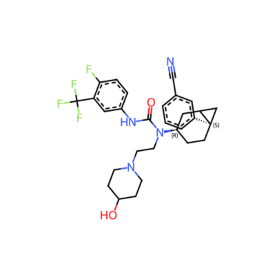 N#Cc1cccc([C@]23CC[C@@H](N(CCN4CCC(O)CC4)C(=O)Nc4ccc(F)c(C(F)(F)F)c4)CC2C3)c1